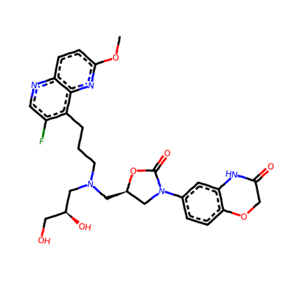 COc1ccc2ncc(F)c(CCCN(C[C@@H](O)CO)C[C@@H]3CN(c4ccc5c(c4)NC(=O)CO5)C(=O)O3)c2n1